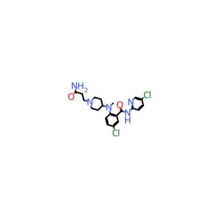 CN(c1ccc(Cl)cc1C(=O)Nc1ccc(Cl)cn1)C1CCN(CCC(N)=O)CC1